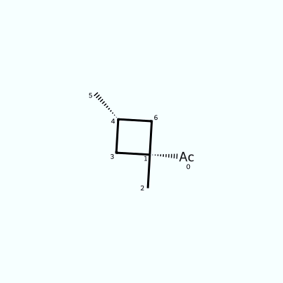 CC(=O)[C@]1(C)C[C@H](C)C1